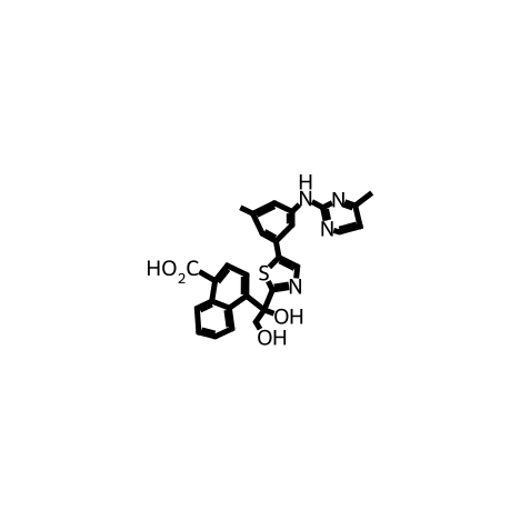 Cc1cc(Nc2nccc(C)n2)cc(-c2cnc(C(O)(CO)c3ccc(C(=O)O)c4ccccc34)s2)c1